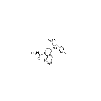 Cc1ccc(C2CCNCC2Nc2ccc(C(N)=O)c3ncncc23)cc1